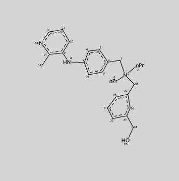 CCC[N+](CCC)(Cc1ccc(Nc2cccnc2C)cc1)Cc1cccc([C]O)c1